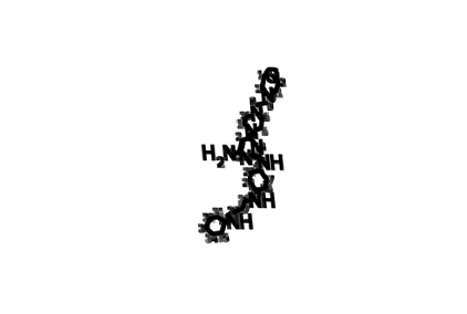 Nc1cc(N2CCN(CCN3CCOCC3)CC2)nc(NC2CCC(NCCCNC3CCCCC3)CC2)n1